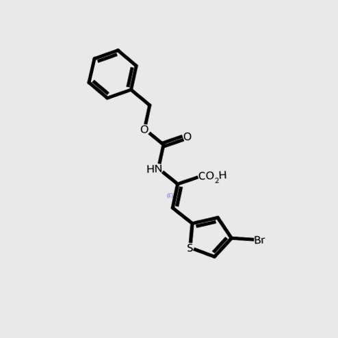 O=C(N/C(=C/c1cc(Br)cs1)C(=O)O)OCc1ccccc1